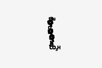 CC(C)(C)c1ccc(COc2ccc(-c3ccc(C=NOCC(=O)O)cc3)cc2)cc1